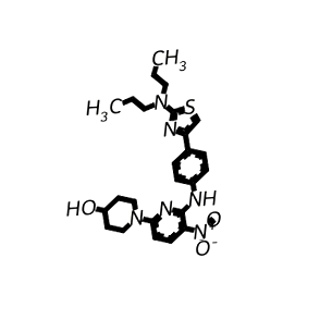 CCCN(CCC)c1nc(-c2ccc(Nc3nc(N4CCC(O)CC4)ccc3[N+](=O)[O-])cc2)cs1